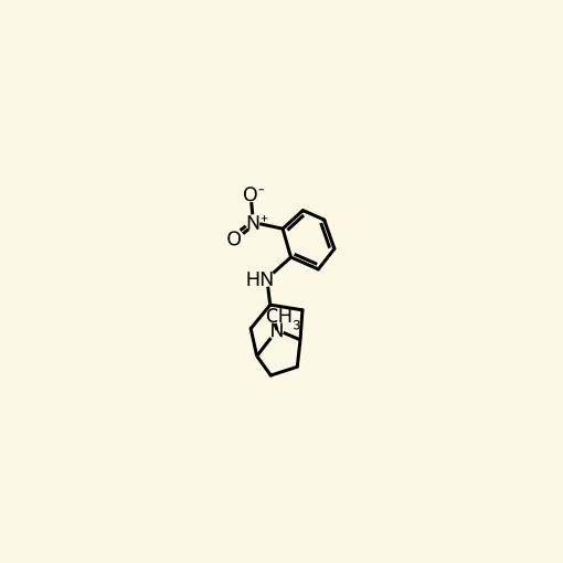 CN1C2CCC1CC(Nc1ccccc1[N+](=O)[O-])C2